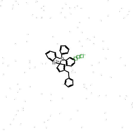 [Cl-].[Cl-].[Cl-].[Ti+3][C]1([Si](c2ccccc2)(c2ccccc2)c2ccccc2)C=CC(Cc2ccccc2)=C1